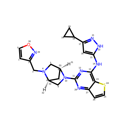 c1cc(CN2C[C@@H]3C[C@H]2CN3c2nc(Nc3cc(C4CC4)n[nH]3)c3sccc3n2)no1